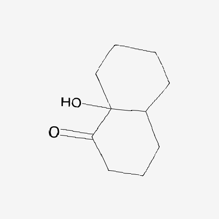 O=C1CCCC2CCCCC12O